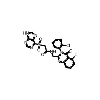 O=C(CS(=O)(=O)c1ncnc2[nH]cnc12)NCc1nc2cccc(F)c2c(=O)n1-c1ccccc1Cl